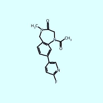 CC(=O)N1CC(=O)N(C)Cc2ccc(-c3ccc(F)nc3)cc21